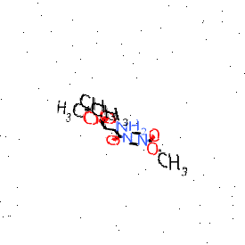 CCOC(=O)N1CCN(C(=O)C(N)CC(=O)OC(C)(C)C)CC1